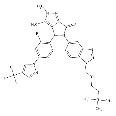 Cc1c2c(nn1C)C(=O)N(c1ccc3c(c1)ncn3COCC[Si](C)(C)C)C2c1ccc(-n2cc(C(F)(F)F)cn2)cc1F